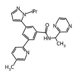 Cc1ccc(-c2cc(C(=O)NC(C)c3cnccn3)cc(-c3ccnn3C(C)C)c2)nc1